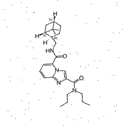 CCCN(CCC)C(=O)c1cn2c(C(=O)NC[C@@H]3CC[C@H]4C[C@@H]3C4(C)C)cccc2n1